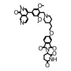 COc1cc(-c2cn(C)c(=O)c3cnccc23)cc(OC)c1CN1CCC(CCOc2ccc3c(c2)C(=O)N(C2CCC(=O)NC2=O)C3=O)CC1